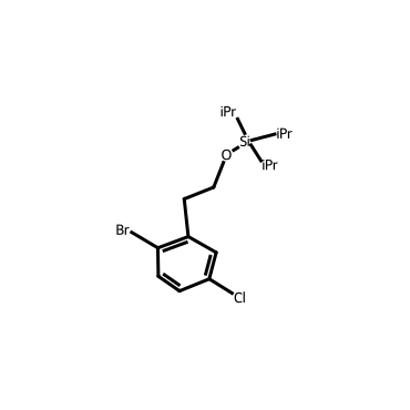 CC(C)[Si](OCCc1cc(Cl)ccc1Br)(C(C)C)C(C)C